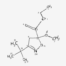 CCOC(=O)C1(OC)CC(C(C)(C)C)=NO1